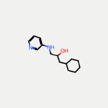 OC(CNc1cccnc1)CC1CCCCC1